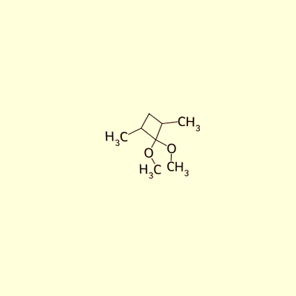 COC1(OC)C(C)CC1C